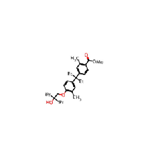 CCC(CC)(c1ccc(OCC(O)(C(C)C)C(C)C)c(C)c1)c1ccc(C(=O)OC)c(C)c1